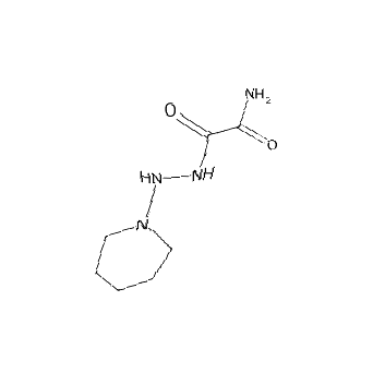 NC(=O)C(=O)NNN1CCCCC1